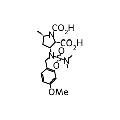 COc1ccc(CN([C@H]2C[C@@H](C)N(C(=O)O)[C@H]2C(=O)O)S(=O)(=O)N(C)C)cc1